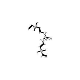 C=C[Si](C)(C)C=CO[PH](=O)OC=C[Si](C)(C)C=C